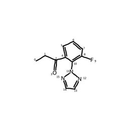 CCC(=O)c1cccc(F)c1-n1nccn1